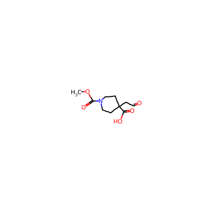 COC(=O)N1CCC(CC=O)(C(=O)O)CC1